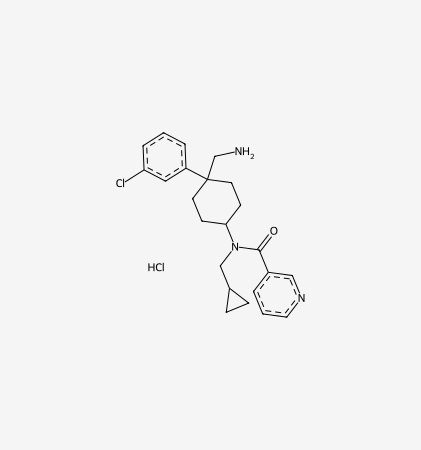 Cl.NCC1(c2cccc(Cl)c2)CCC(N(CC2CC2)C(=O)c2cccnc2)CC1